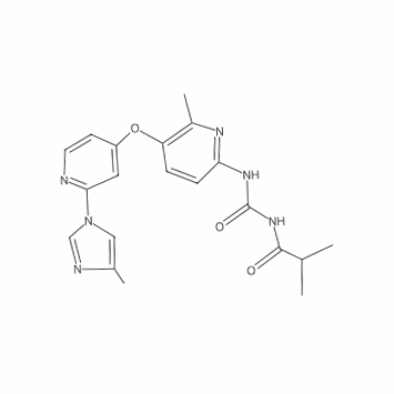 Cc1cn(-c2cc(Oc3ccc(NC(=O)NC(=O)C(C)C)nc3C)ccn2)cn1